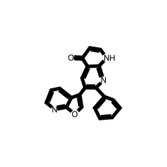 O=c1cc[nH]c2nc(-c3ccccc3)c(-c3coc4ncccc34)cc12